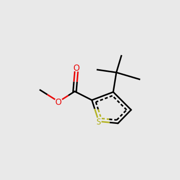 COC(=O)c1sccc1C(C)(C)C